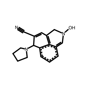 N#CC1=CC2=c3c(cccc3=CN(O)C2)C1N1CCCC1